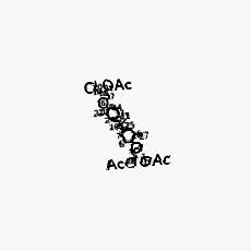 CC(=O)OC[C@@H](COc1ccc(C(C)(C)c2ccc(OC[C@@H](CCl)OC(C)=O)c(C)c2)cc1C)OC(C)=O